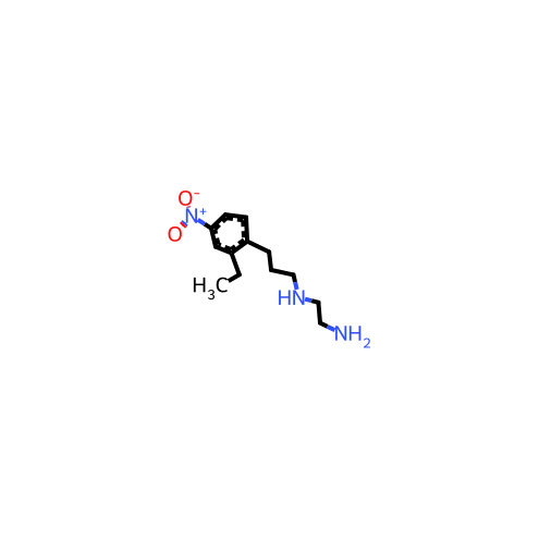 CCc1cc([N+](=O)[O-])ccc1CCCNCCN